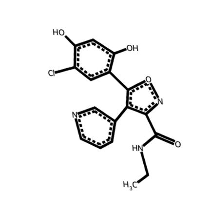 CCNC(=O)c1noc(-c2cc(Cl)c(O)cc2O)c1-c1cccnc1